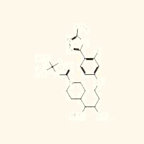 Cc1nnc(-c2ccc(OCCC(C)C(C)C3CCN(C(=O)OC(C)(C)C)CC3)cc2F)o1